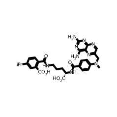 CC(C)c1ccc(C(=O)NCCC[C@H](NC(=O)c2ccc(N(C)Cc3cnc4nc(N)nc(N)c4n3)cc2)C(=O)O)c(C(=O)O)c1